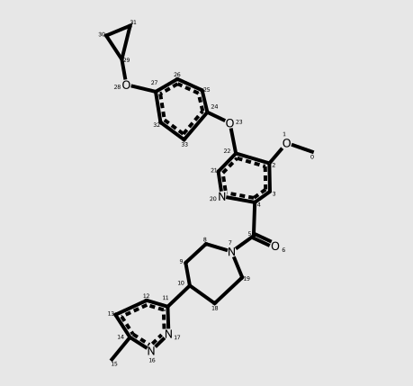 COc1cc(C(=O)N2CCC(c3ccc(C)nn3)CC2)ncc1Oc1ccc(OC2CC2)cc1